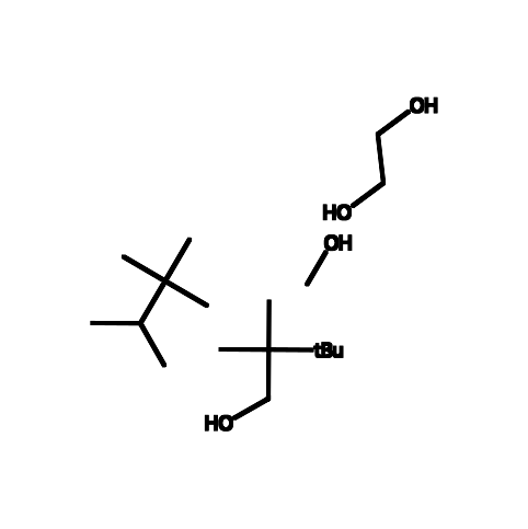 CC(C)(C)C(C)(C)CO.CC(C)C(C)(C)C.CO.OCCO